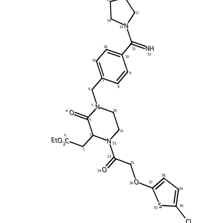 CCOC(=O)CC1C(=O)N(Cc2ccc(C(=N)N3CCCC3)cc2)CCN1C(=O)COc1ccc(Cl)s1